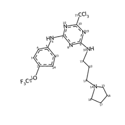 FC(F)(F)Oc1ccc(Nc2nc(NCCCN3CCCC3)nc(C(Cl)(Cl)Cl)n2)cc1